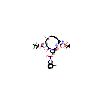 CC[C@@H]1C[C@H](C)CC/C=C\C2C[C@@]2(C(=O)NS(=O)(=O)C2(C)CC2)NC(=O)[C@@H]2C[C@@H](OC(=O)N3Cc4cccc(F)c4C3)CN2C(=O)[C@H]1NC(=O)OC(C)(C)C(C)(F)F